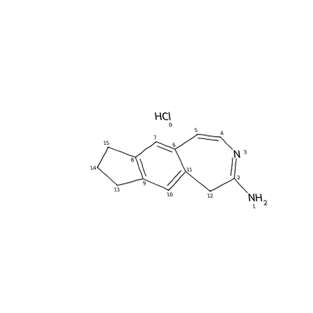 Cl.NC1=NC=Cc2cc3c(cc2C1)CCC3